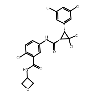 O=C(NC1COC1)c1cc(NC(=O)[C@H]2[C@H](c3cc(Cl)cc(Cl)c3)C2(Cl)Cl)ccc1Cl